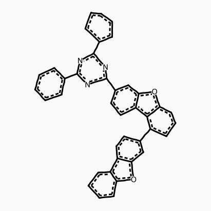 c1ccc(-c2nc(-c3ccccc3)nc(-c3ccc4c(c3)oc3cccc(-c5ccc6c(c5)oc5ccccc56)c34)n2)cc1